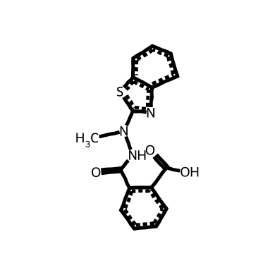 CN(NC(=O)c1ccccc1C(=O)O)c1nc2ccccc2s1